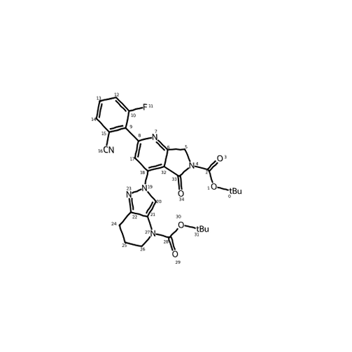 CC(C)(C)OC(=O)N1Cc2nc(-c3c(F)cccc3C#N)cc(-n3cc4c(n3)CCCN4C(=O)OC(C)(C)C)c2C1=O